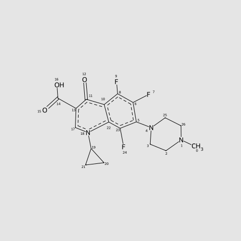 CN1CCN(c2c(F)c(F)c3c(=O)c(C(=O)O)cn(C4CC4)c3c2F)CC1